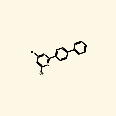 Oc1cc(O)nc(-c2ccc(-c3ccccc3)cc2)n1